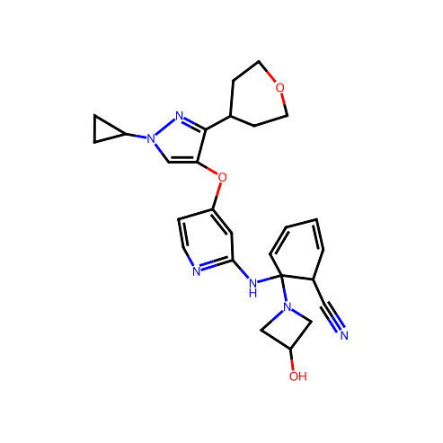 N#CC1C=CC=CC1(Nc1cc(Oc2cn(C3CC3)nc2C2CCOCC2)ccn1)N1CC(O)C1